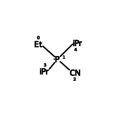 CC[P](C#N)(C(C)C)C(C)C